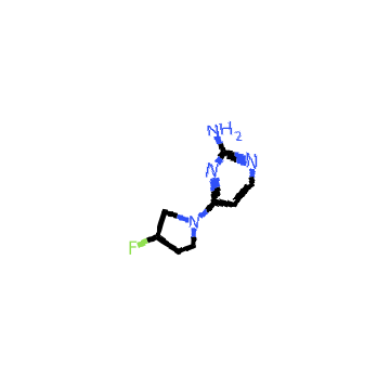 Nc1nccc(N2CCC(F)C2)n1